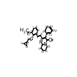 COc1cccc(/C=C/c2nc3ccccn3c(=O)c2-c2ccccc2)c1OCC1CC1